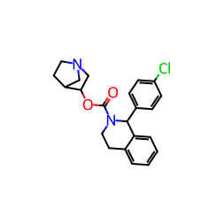 O=C(OC1CN2CCC1C2)N1CCc2ccccc2C1c1ccc(Cl)cc1